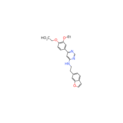 CCOc1cc(-c2cc(NCCc3ccc4ccoc4c3)ncn2)ccc1OCC(=O)O